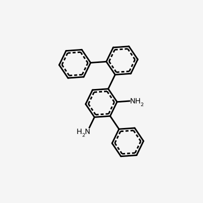 Nc1ccc(-c2ccccc2-c2ccccc2)c(N)c1-c1ccccc1